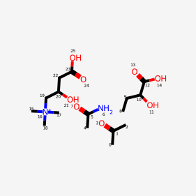 CC(C)=O.CC(N)=O.CCC(O)C(=O)O.C[N+](C)(C)CC(O)CC(=O)O